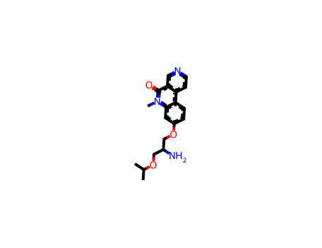 CC(C)OCC(N)COc1ccc2c3ccncc3c(=O)n(C)c2c1